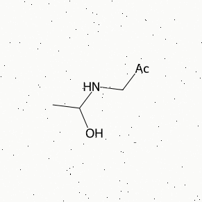 CC(=O)CNC(C)O